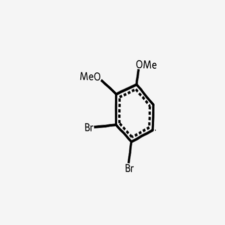 COc1c[c]c(Br)c(Br)c1OC